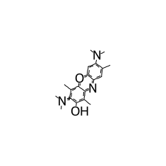 Cc1cc2nc3c(C)c(O)c(=[N+](C)C)c(C)c-3oc2cc1N(C)C